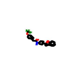 O=C(Cc1ccc(OC(F)(F)F)cc1)Nc1ccc(-c2cc3ccccc3o2)cc1